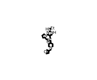 CCN[C@@H]1N=C2C(=CN1)C[N+]([O-])(CC1CCN(Cc3ccoc3)CC1)CC1CCCN21